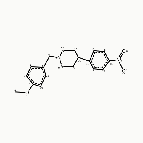 COc1ccc(CN2SCC(c3ccc([N+](=O)[O-])cc3)CS2)cc1